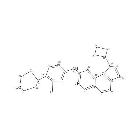 Cc1cc(Nc2ncc3ccc4ncn(C5CCC5)c4c3n2)ncc1N1CCOCC1